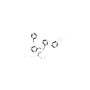 COc1cccc(Oc2ccccc2CN(CCC(N)C(=O)O)Cc2ccccc2OCc2ccc(F)cc2)c1